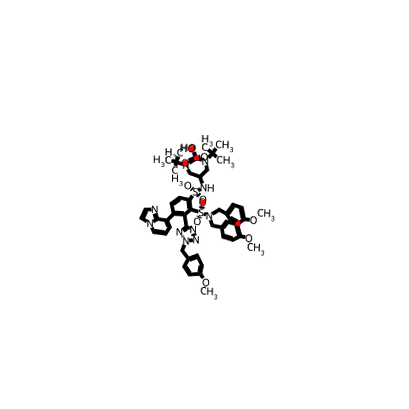 COc1ccc(CN(Cc2ccc(OC)cc2)S(=O)(=O)c2c(S(=O)(=O)NC(CN(C(=O)O)C(C)(C)C)CN(C(=O)O)C(C)(C)C)ccc(-c3cccn4ccnc34)c2-c2nnn(Cc3ccc(OC)cc3)n2)cc1